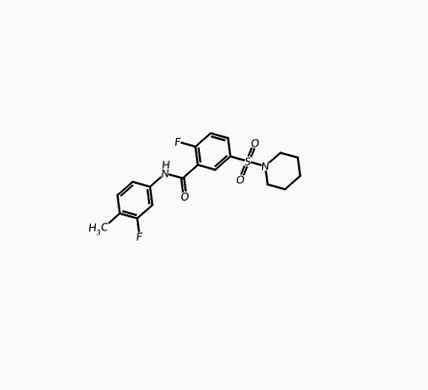 Cc1ccc(NC(=O)c2cc(S(=O)(=O)N3CCCCC3)ccc2F)cc1F